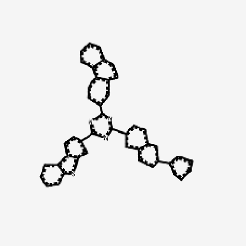 c1ccc(-c2ccc3cc(-c4nc(-c5ccc6c(ccc7ccccc76)c5)nc(-c5ccc6c(c5)sc5ccccc56)n4)ccc3c2)cc1